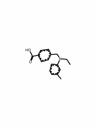 CCN(Cc1ccc(C(=O)O)cc1)c1cccc(C)c1